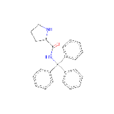 O=C(NC(c1ccccc1)(c1ccccc1)c1ccccc1)C1CCCN1